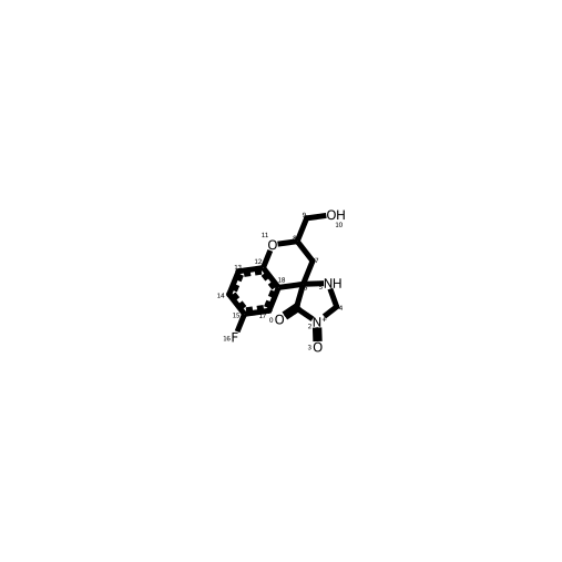 O=C1[N+](=O)CNC12CC(CO)Oc1ccc(F)cc12